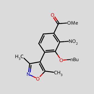 CCCCOc1c(-c2c(C)noc2C)ccc(C(=O)OC)c1[N+](=O)[O-]